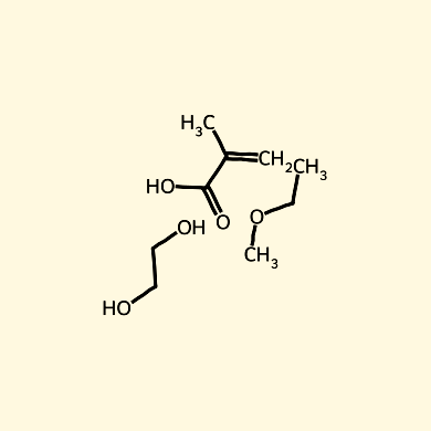 C=C(C)C(=O)O.CCOC.OCCO